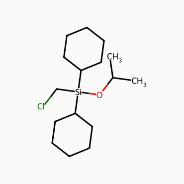 CC(C)O[Si](CCl)(C1CCCCC1)C1CCCCC1